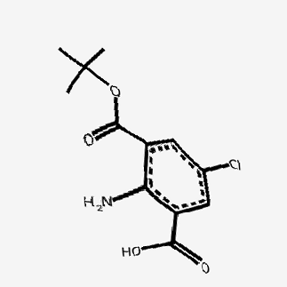 CC(C)(C)OC(=O)c1cc(Cl)cc(C(=O)O)c1N